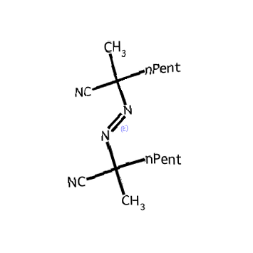 CCCCCC(C)(C#N)/N=N/C(C)(C#N)CCCCC